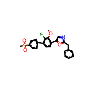 COc1c(-c2cnc(Cc3ccccc3)o2)ccc(-c2ccc(S(C)(=O)=O)cc2)c1F